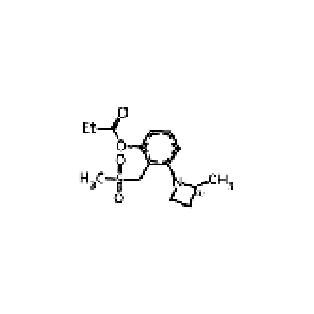 CCC(=O)Oc1cccc(N2CC[C@@H]2C)c1CS(C)(=O)=O